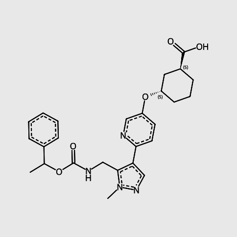 CC(OC(=O)NCc1c(-c2ccc(O[C@H]3CCC[C@H](C(=O)O)C3)cn2)cnn1C)c1ccccc1